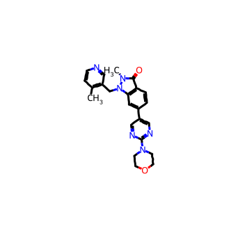 Cc1ccncc1Cn1c2cc(-c3cnc(N4CCOCC4)nc3)ccc2c(=O)n1C